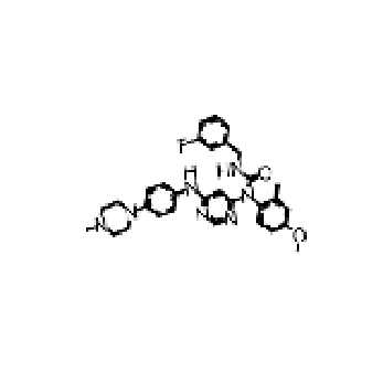 COc1ccc(N(C(=O)NCc2cccc(F)c2)c2cc(Nc3ccc(N4CCN(C)CC4)cc3)ncn2)c(C)c1